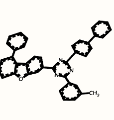 Cc1cccc(-c2nc(-c3ccc(-c4ccccc4)cc3)nc(-c3ccc4c(c3)oc3cccc(-c5ccccc5)c34)n2)c1